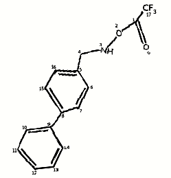 O=C(ONCc1ccc(-c2ccccc2)cc1)C(F)(F)F